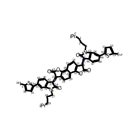 CC(C)CCCN1C(=O)/C(=C2/C(=O)Oc3c2ccc2c4c(ccc32)/C(=C2\C(=O)N(CCCC(C)C)c3cc(-c5ccc(I)s5)ccc32)C(=O)O4)c2ccc(-c3ccc(I)s3)cc21